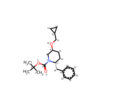 CC(C)(C)OC(=O)N1C[C@@H](OCC2CC2)CC[C@@H]1Cc1ccccc1